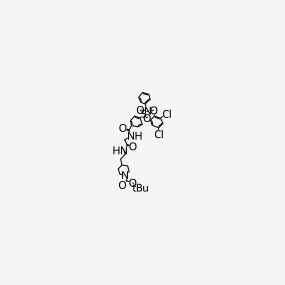 CC(C)(C)OC(=O)N1CCC(CCNC(=O)CNC(=O)c2ccc(S(=O)(=O)N(Oc3ccc(Cl)cc3Cl)c3ccccc3)cc2)CC1